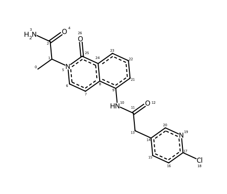 CC(C(N)=O)n1ccc2c(NC(=O)Cc3ccc(Cl)nc3)cccc2c1=O